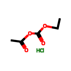 CCOC(=O)OC(C)=O.Cl